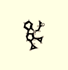 c1ccc2c(c1)c1ccc(C3CC3)c(C3CC3)c1n2CC1CO1